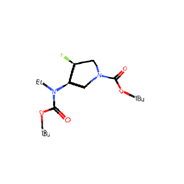 CCN(C(=O)OC(C)(C)C)[C@@H]1CN(C(=O)OC(C)(C)C)C[C@@H]1F